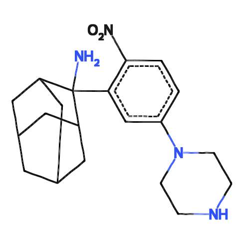 NC1(c2cc(N3CCNCC3)ccc2[N+](=O)[O-])C2CC3CC(C2)CC1C3